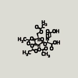 CC(=O)OC[C@H]1O[C@H](OC(NCC(=O)O)C(=O)O)[C@H](OC(C)=O)[C@@H](OC(C)=O)[C@@H]1OC(C)=O